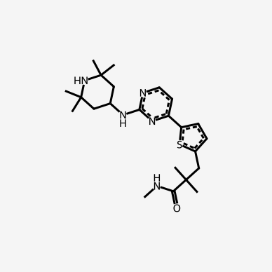 CNC(=O)C(C)(C)Cc1ccc(-c2ccnc(NC3CC(C)(C)NC(C)(C)C3)n2)s1